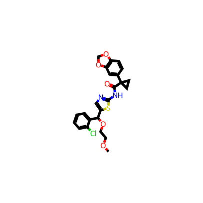 COCCOC(c1cnc(NC(=O)C2(c3ccc4c(c3)OCO4)CC2)s1)c1ccccc1Cl